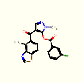 Cc1c(C(=O)c2cnn(C)c2OC(=O)c2cccc(F)c2)ccc2scnc12